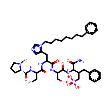 CC(=O)N1CCC[C@H]1C(=O)NC(CC(C)C)C(=O)NC(Cc1cncn1CCCCCCCCc1ccccc1)C(=O)NC(CO)C(=O)NC(C(N)=O)C(Cc1ccccc1)CP(=O)(O)O